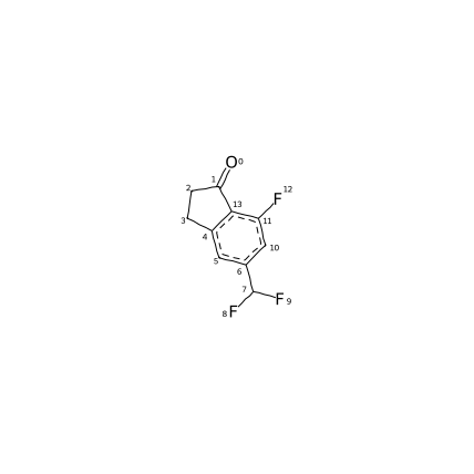 O=C1CCc2cc(C(F)F)cc(F)c21